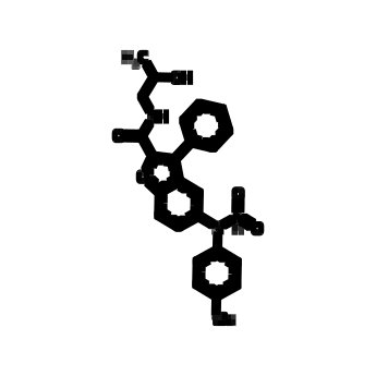 CC(O)CNC(=O)c1oc2ccc(N(c3ccc(C(C)(C)C)cc3)[SH](=O)=O)cc2c1-c1ccccc1